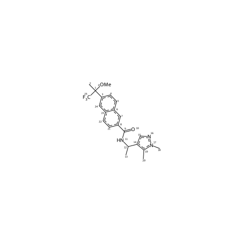 COC(C)(c1ccc2cc(C(=O)NC(C)c3cnn(C)c3C)ccc2c1)C(F)(F)F